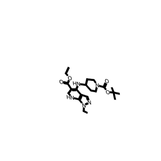 CCOC(=O)C1=C(NC2CCN(C(=O)OC(C)(C)C)CC2)c2cnn(CC)c2NC1